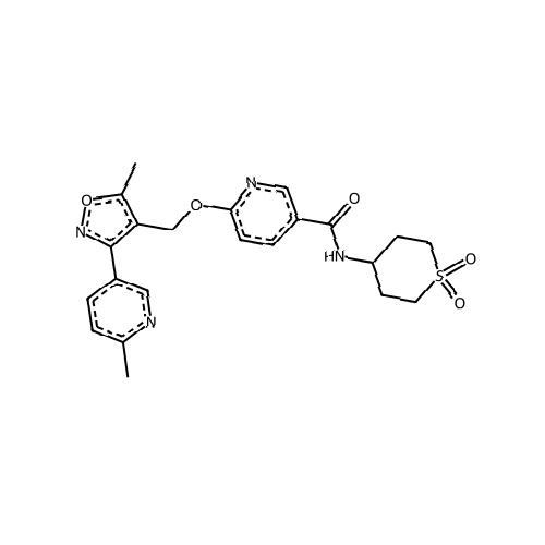 Cc1ccc(-c2noc(C)c2COc2ccc(C(=O)NC3CCS(=O)(=O)CC3)cn2)cn1